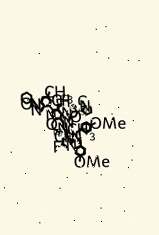 COc1ccc(CN(Cc2ccc(OC)cc2)c2ncc(F)cc2[C@@H](C)N2c3nc(OC[C@@H]4CCCN4C)nc4c(F)c(-c5c(C(F)(F)F)c(C)cc6c5cnn6C5CCCCO5)nc(c34)OC[C@@H]2C)cc1